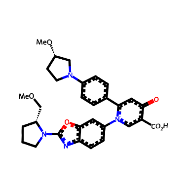 COC[C@H]1CCCN1c1nc2ccc(-n3cc(C(=O)O)c(=O)cc3-c3ccc(N4CC[C@H](OC)C4)cc3)cc2o1